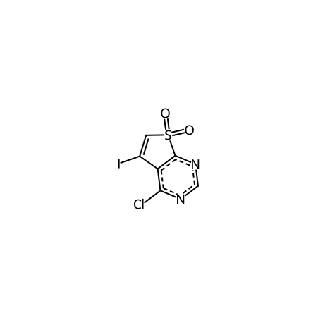 O=S1(=O)C=C(I)c2c(Cl)ncnc21